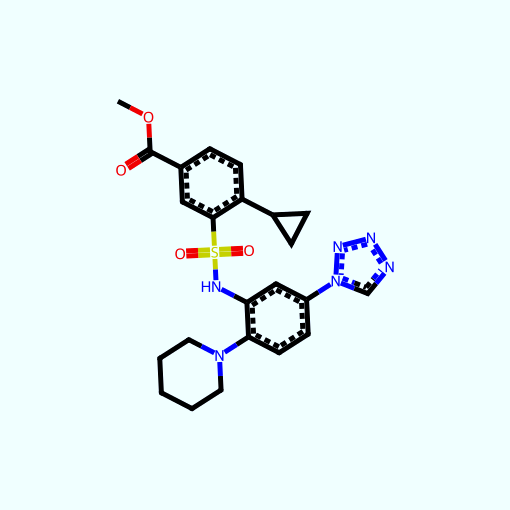 COC(=O)c1ccc(C2CC2)c(S(=O)(=O)Nc2cc(-n3cnnn3)ccc2N2CCCCC2)c1